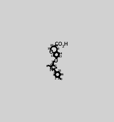 Cc1ccc(-c2nc(C)c(COc3ccc4c(c3)OCC[C@@H](C(=O)O)C4)s2)cc1